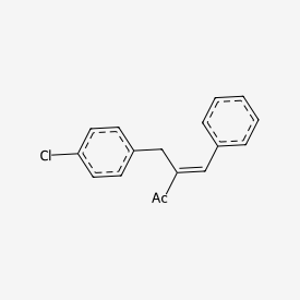 CC(=O)C(=Cc1ccccc1)Cc1ccc(Cl)cc1